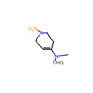 CN(C=O)C1=CCN(P)CC1